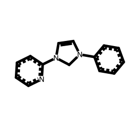 C1=CN(c2ccccn2)CN1c1ccccc1